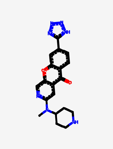 CN(c1cc2c(=O)c3ccc(-c4nnn[nH]4)cc3oc2cn1)C1CCNCC1